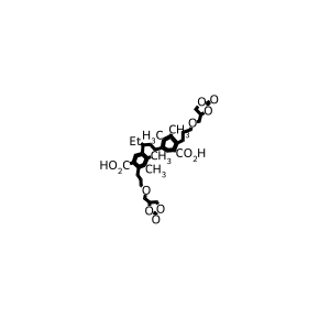 CCC(CCc1cc(C(=O)O)c(CCCOCC2COC(=O)O2)c(C)c1C)c1cc(C(=O)O)c(CCCOCC2COC(=O)O2)c(C)c1C